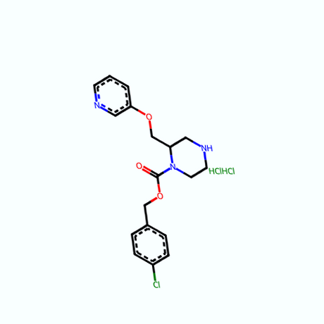 Cl.Cl.O=C(OCc1ccc(Cl)cc1)N1CCNCC1COc1cccnc1